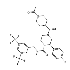 CC(=O)N1CCC(C(=O)N2CC[C@@H](C(=O)N(C)Cc3cc(C(F)(F)F)cc(C(F)(F)F)c3)[C@H](c3ccc(F)cc3)C2)CC1